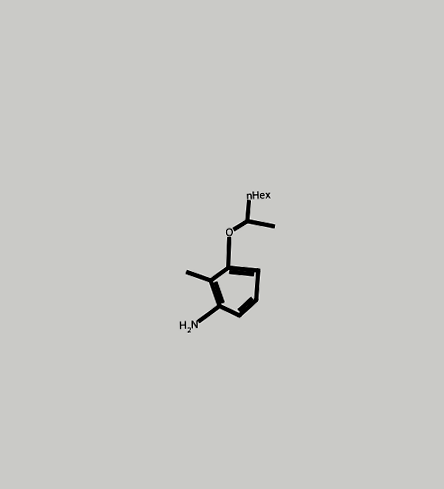 CCCCCCC(C)Oc1cccc(N)c1C